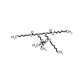 CCCCCCCCOC(=O)CCN(CCCOP(=O)(OCC)OCC)CCCN(CCC(=O)OCCCCCCCC)CCC(=O)OCCCCCCCC